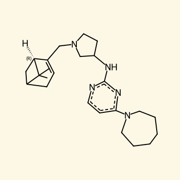 CC1(C)C2CC=C(CN3CCC(Nc4nccc(N5CCCCCC5)n4)C3)[C@@H]1C2